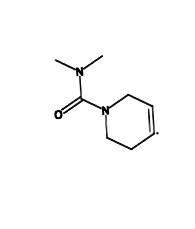 CN(C)C(=O)N1CC=[C]CC1